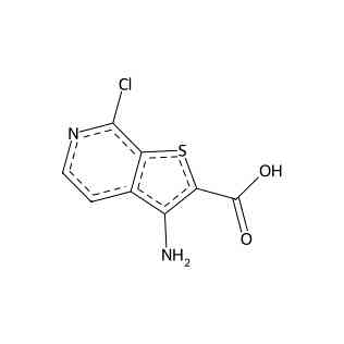 Nc1c(C(=O)O)sc2c(Cl)nccc12